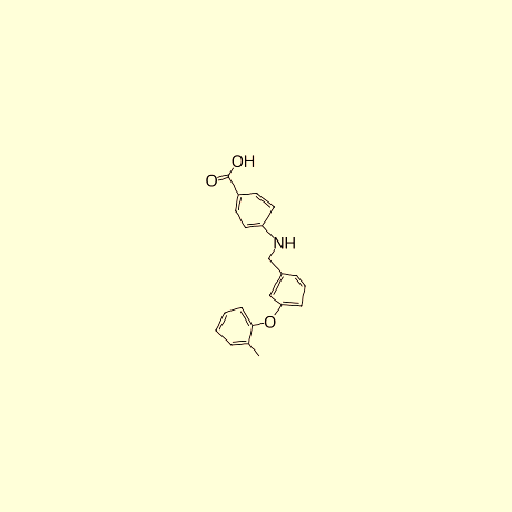 Cc1ccccc1Oc1cccc(CNc2ccc(C(=O)O)cc2)c1